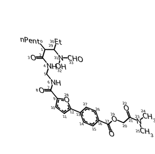 CCCCCC(C(=O)NCNC(=O)c1ccc(-c2ccc(C(=O)OCC(=O)N(C)C)cc2)o1)C(CC)N(O)C=O